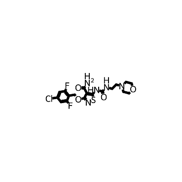 NC(=O)c1c(OCc2c(F)cc(Cl)cc2F)nsc1NC(=O)NCCN1CCOCC1